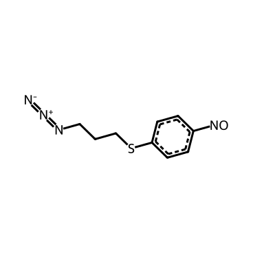 [N-]=[N+]=NCCCSc1ccc(N=O)cc1